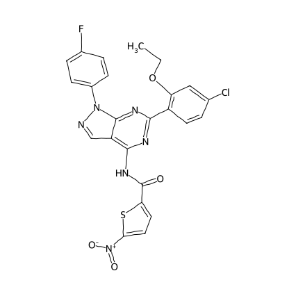 CCOc1cc(Cl)ccc1-c1nc(NC(=O)c2ccc([N+](=O)[O-])s2)c2cnn(-c3ccc(F)cc3)c2n1